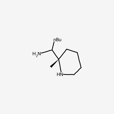 CCCCC(N)[C@]1(C)CCCCN1